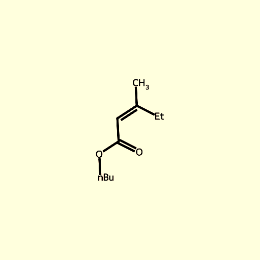 CCCCOC(=O)/C=C(/C)CC